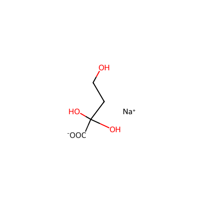 O=C([O-])C(O)(O)CCO.[Na+]